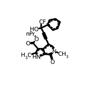 CCCOC(=O)c1c(C)[nH]c2c(=O)n(C)cc(C#CC(O)(c3ccccc3)C(F)(F)F)c12